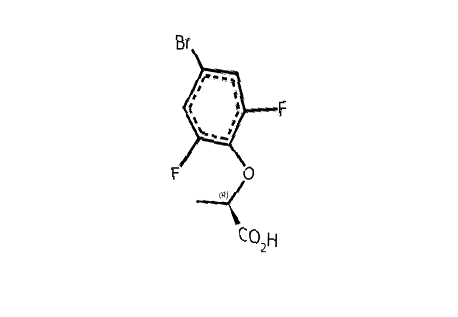 C[C@@H](Oc1c(F)cc(Br)cc1F)C(=O)O